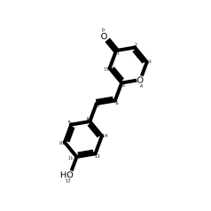 O=c1ccoc(C=Cc2ccc(O)cc2)c1